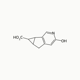 O=C(O)C1C2Cc3cc(O)ncc3C21